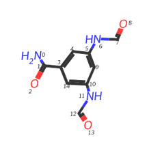 NC(=O)c1cc(NC=O)cc(NC=O)c1